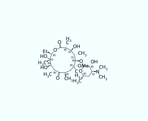 CC[C@H]1OC(=O)[C@H](C)[C@@H](O)[C@H](C)[C@@H](OC2O[C@H](C)C[C@H](N(C)C)[C@H]2O)[C@](C)(OC)C[C@@H](C)C(=O)[C@H](C)[C@@H](O)[C@]1(C)O